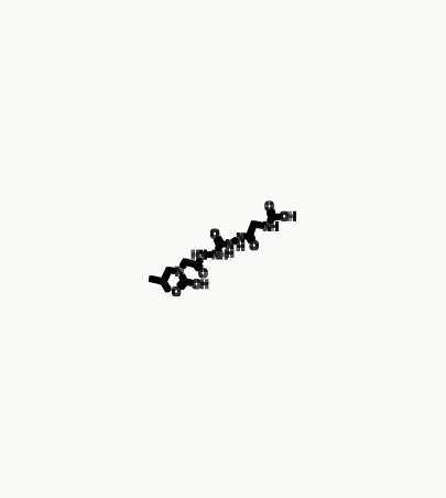 CC(C)CN(CC(=O)NNC(=O)NNC(=O)CNC(=O)O)C(=O)O